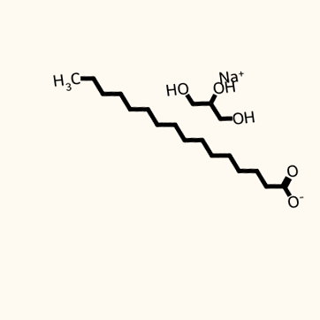 CCCCCCCCCCCCCCCC(=O)[O-].OCC(O)CO.[Na+]